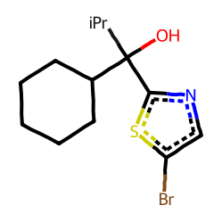 CC(C)C(O)(c1ncc(Br)s1)C1CCCCC1